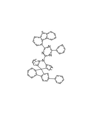 c1ccc(-c2ccc3c(c2)C2(c4ccccc4-3)c3ccccc3N(c3nc(-c4ccccc4)nc(-c4cccc5sc6ccccc6c45)n3)c3ccccc32)cc1